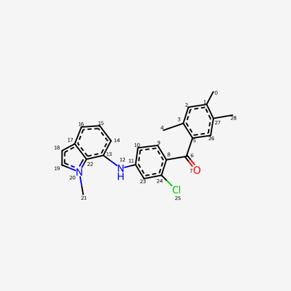 Cc1cc(C)c(C(=O)c2ccc(Nc3cccc4ccn(C)c34)cc2Cl)cc1C